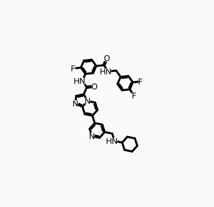 O=C(NCc1ccc(F)c(F)c1)c1ccc(F)c(NC(=O)c2cnc3cc(-c4cncc(CNC5CCCCC5)c4)ccn23)c1